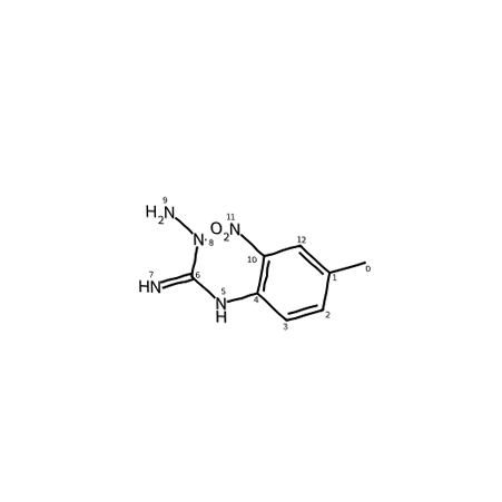 Cc1ccc(NC(=N)[N]N)c([N+](=O)[O-])c1